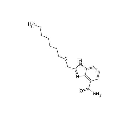 CCCCCCCSCc1nc2c(C(N)=O)cccc2[nH]1